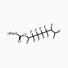 CCCCCC(=O)OC(F)C(F)(F)C(F)(F)C(F)(F)C(F)(F)C(F)C(F)F